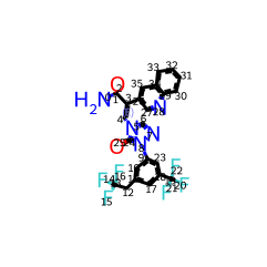 NC(=O)/C(=C/n1cnn(-c2cc(CC(F)(F)F)cc(C(F)(F)F)c2)c1=O)c1cnc2ccccc2c1